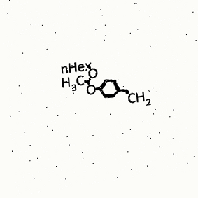 C=Cc1ccc(OC(C)OCCCCCC)cc1